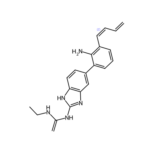 C=C/C=C\c1cccc(-c2ccc3[nH]c(NC(=C)NCC)nc3c2)c1N